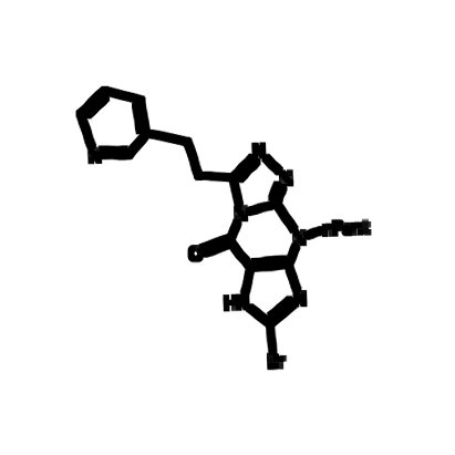 CCCCCn1c2nc(Br)[nH]c2c(=O)n2c(CCc3cccnc3)nnc12